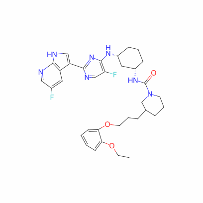 CCOc1ccccc1OCCCC1CCCN(C(=O)N[C@H]2CCC[C@@H](Nc3nc(-c4c[nH]c5ncc(F)cc45)ncc3F)C2)C1